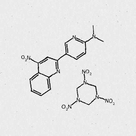 CN(C)c1ccc(-c2cc([N+](=O)[O-])c3ccccc3n2)cn1.O=[N+]([O-])N1CN([N+](=O)[O-])CN([N+](=O)[O-])C1